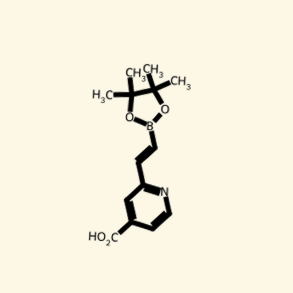 CC1(C)OB(C=Cc2cc(C(=O)O)ccn2)OC1(C)C